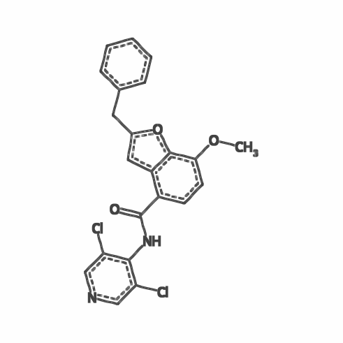 COc1ccc(C(=O)Nc2c(Cl)cncc2Cl)c2cc(Cc3ccccc3)oc12